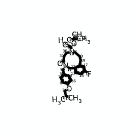 CC(C)COc1ccc(CN2Cc3ccc(F)cc3CCCN(C(=O)OC(C)(C)C)CCC2=O)cc1